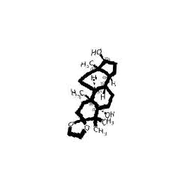 CC1(C)C2(CC[C@]3(C)[C@H]4CC[C@]5(C)[C@@H](O)CC[C@H]5[C@@H]4CC[C@@]13O)OCCO2